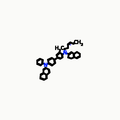 C=C/C=C\CC(C)N(C1=CC2=C(C=CCC2)CC1)c1ccc(-c2ccc(N(c3ccccc3)c3ccc4ccccc4c3)cc2)cc1